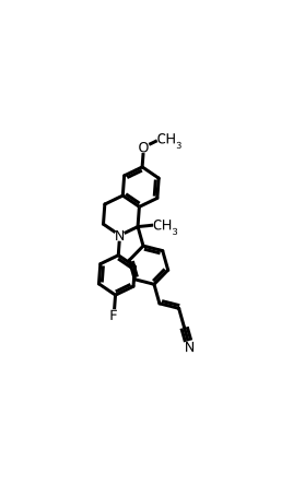 COc1ccc2c(c1)CCN(c1ccc(F)cc1)C2(C)c1ccc(/C=C/C#N)cc1